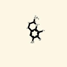 CCc1cc2c(c(F)c1F)OC(C)CC2